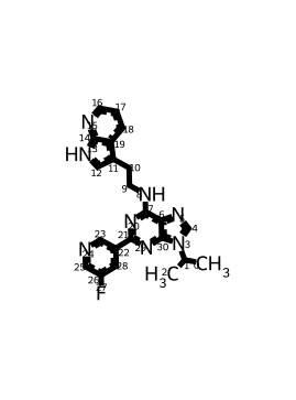 CC(C)n1cnc2c(NCCc3c[nH]c4ncccc34)nc(-c3cncc(F)c3)nc21